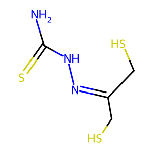 NC(=S)NN=C(CS)CS